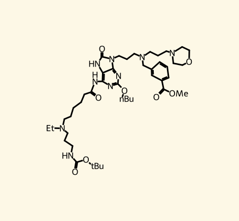 CCCCOc1nc(NC(=O)CCCCCN(CC)CCCNC(=O)OC(C)(C)C)c2[nH]c(=O)n(CCCN(CCCN3CCOCC3)Cc3cccc(C(=O)OC)c3)c2n1